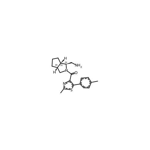 Cc1ccc(-c2sc(C)nc2C(=O)N2C[C@@H]3CCC[C@@H]3[C@H]2CN)cc1